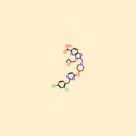 O=C(O)c1ccc2nc(CN3CCC(Oc4ccnc(Cc5ccc(Cl)cc5Cl)n4)CC3)n(CC3CCO3)c2n1